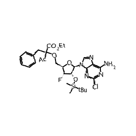 CCOC(=O)C(Cc1ccccc1)(OC[C@H]1O[C@@H](n2cnc3c(N)nc(Cl)nc32)[C@H](O[Si](C)(C)C(C)(C)C)[C@@H]1F)C(C)=O